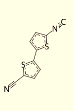 [C-]#[N+]c1ccc(-c2ccc(C#N)s2)s1